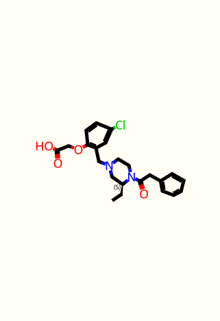 CC[C@H]1CN(Cc2cc(Cl)ccc2OCC(=O)O)CCN1C(=O)Cc1ccccc1